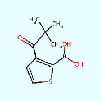 CC(C)(C)C(=O)c1ccsc1B(O)O